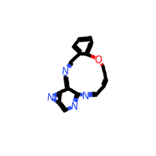 C1=CCOc2ccccc2C=NC=c2c(ncc3c2=N3)N=C1